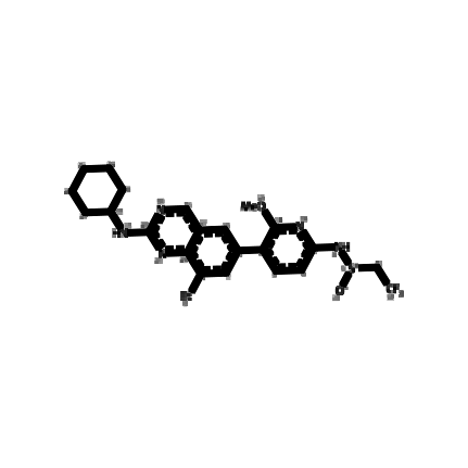 CCc1cc(-c2ccc(N[S+]([O-])CC(F)(F)F)nc2OC)cc2cnc(NC3CCCCC3)nc12